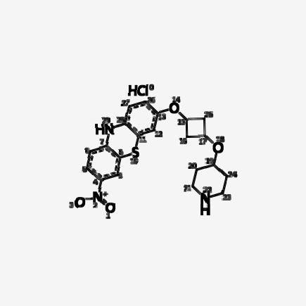 Cl.O=[N+]([O-])c1ccc2c(c1)Sc1cc(OC3CC(OC4CCNCC4)C3)ccc1N2